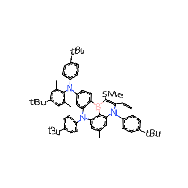 C=CC1=C(SC)B2c3ccc(N(c4ccc(C(C)(C)C)cc4)c4c(C)cc(C(C)(C)C)cc4C)cc3N(c3ccc(C(C)(C)C)cc3)c3cc(C)cc(c32)N1c1ccc(C(C)(C)C)cc1